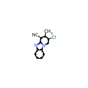 Cc1c(Cl)cn2c(nc3ccccc32)c1C#N